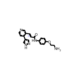 NCCOc1ccc(NC(=O)/C=C/c2cnccc2-c2cn[nH]c2)cc1